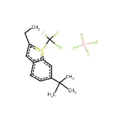 CCc1cc2ccc(C(C)(C)C)cc2[s+]1C(F)(F)F.F[B-](F)(F)F